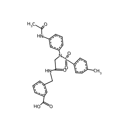 CC(=O)Nc1cccc(N(CC(=O)NCc2cccc(C(=O)O)c2)S(=O)(=O)c2ccc(C)cc2)c1